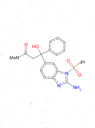 CNC(=O)CC(O)(c1ccccc1)c1ccc2nc(N)n(S(=O)(=O)C(C)C)c2c1